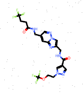 O=C(CCC(F)(F)F)NCc1cnn2cc(CNC(=O)c3cnn(CCOC(F)(F)F)c3)nc2c1